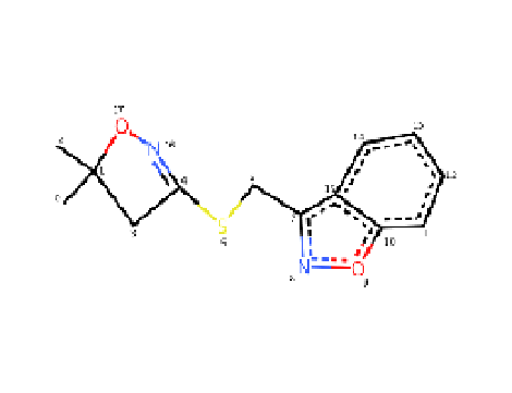 CC1(C)CC(SCc2noc3ccccc23)=NO1